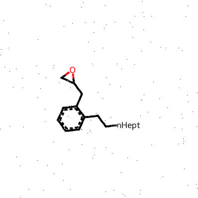 CCCCCCCCCc1[c]cccc1CC1CO1